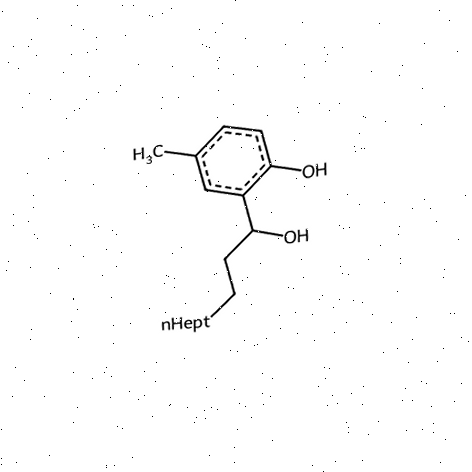 CCCCCCCCCC(O)c1cc(C)ccc1O